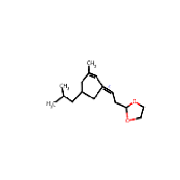 CC1=C/C(=C/CC2OCCO2)CC(CC(C)C)C1